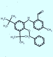 Cc1ccc(Pc2cc(C(C)(C)C)cc(C(C)(C)C)c2OCc2ccccc2)c(C=O)c1